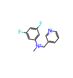 C[N+](Cc1cccnc1)c1cc(F)cc(F)c1